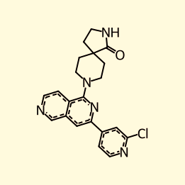 O=C1NCCC12CCN(c1nc(-c3ccnc(Cl)c3)cc3cnccc13)CC2